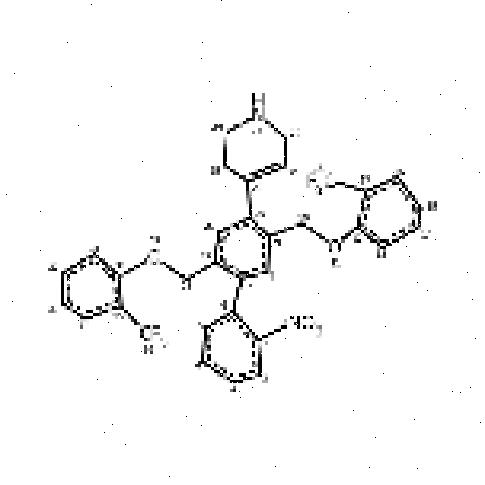 O=[N+]([O-])c1ccccc1-c1cc(COc2ccccc2C(F)(F)F)c(C2=CCNCC2)cc1COc1ccccc1C(F)(F)F